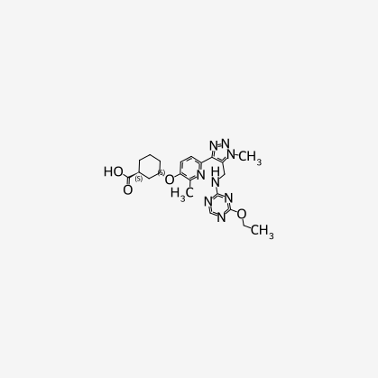 CCOc1ncnc(NCc2c(-c3ccc(O[C@H]4CCC[C@H](C(=O)O)C4)c(C)n3)nnn2C)n1